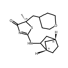 C[C@]1(CC2CCOCC2)SC(NC2C[C@@H]3CC[C@H]2C3)=NC1=O